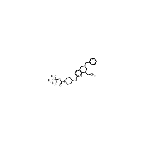 CCC1CN(Cc2ccccc2)Cc2ccc(OC3CCN(C(=O)OC(C)(C)C)CC3)nc21